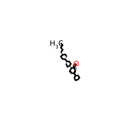 CCCCC[C@H]1CC[C@H]([C@H]2CC[C@H](C3C=CC(C4CCCCC4)=CC3=C=O)CC2)CC1